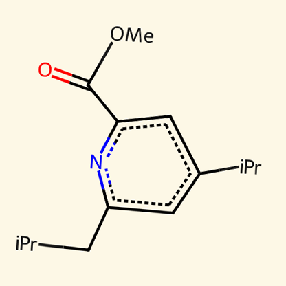 COC(=O)c1cc(C(C)C)cc(CC(C)C)n1